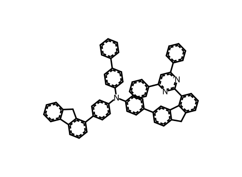 c1ccc(-c2ccc(N(c3ccc(-c4ccc5c(c4)-c4c(cccc4-c4nc(-c6ccccc6)cc(-c6ccccc6)n4)C5)cc3)c3ccc(-c4cccc5c4Cc4ccccc4-5)cc3)cc2)cc1